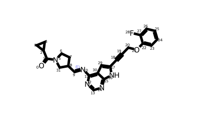 O=C(C1CC1)N1CCC(/C=N/c2ncnc3[nH]c(C#CCOc4ccccc4F)cc23)C1